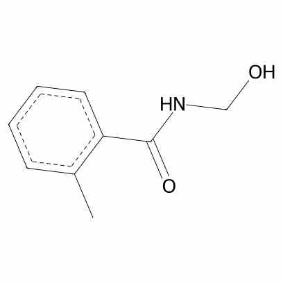 Cc1ccccc1C(=O)NCO